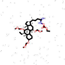 CCOC(=O)ONC(=N)CC[C@@H](C)[C@H]1CC[C@H]2[C@@H]3[C@H](OCOC)[C@H](CC)[C@@H]4C[C@H](OCOC)CC[C@]4(C)[C@H]3[C@@H](OCOC)C[C@]12C